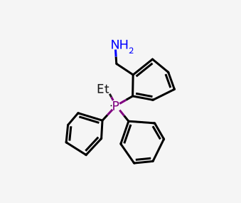 CC[P](c1ccccc1)(c1ccccc1)c1ccccc1CN